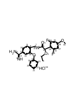 CCOC(C(=O)NCc1ccc(C(=N)N)cc1Oc1ccccc1)c1c(F)cc(OC)cc1F.Cl